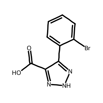 O=C(O)c1n[nH]nc1-c1ccccc1Br